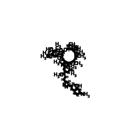 CC[C@H]1OC(=O)[C@H](C)[C@@H](O[C@H]2C[C@@](C)(OC)[C@@H](O)[C@H](C)O2)[C@H](C)[C@@H](O[C@H]2C[C@@H](N(C)CCc3cn([C@H](CO)Cc4ccc(N)cc4)nn3)C[C@@H](C)O2)[C@](C)(O)C[C@@H](C)CN(C)[C@H](C)[C@@H](O)[C@]1(C)O